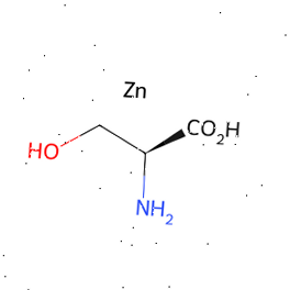 N[C@@H](CO)C(=O)O.[Zn]